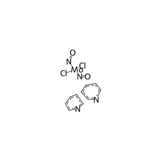 O=[N][Mo]([Cl])([Cl])[N]=O.c1ccncc1.c1ccncc1